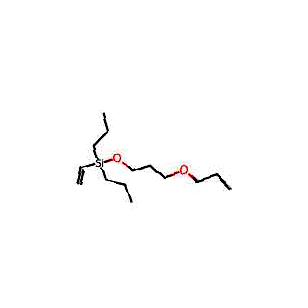 C=C[Si](CCC)(CCC)OCCCOCCC